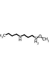 CCCCNCCC[SiH2]OC